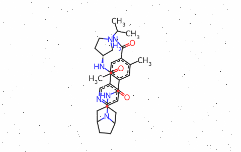 Cc1cc(C(=O)NC2CC3CCC(C2)N3c2ccc(C(=O)N[C@H]3CCN(C(C)C)C3)cn2)c(C)cc1C(N)=O